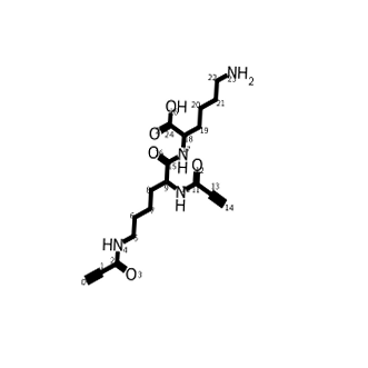 C#CC(=O)NCCCCC(NC(=O)C#C)C(=O)NC(CCCCN)C(=O)O